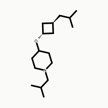 CC(C)CN1CCC(O[C@H]2C[C@H](CC(C)C)C2)CC1